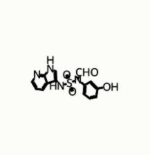 O=[C]N(c1cccc(O)c1)S(=O)(=O)Nc1c[nH]c2ncccc12